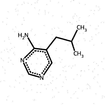 CC(C)Cc1cncnc1N